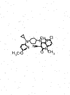 COc1ccc(N(C2CCC(N(C)c3c(C#N)c(=O)n(C)c4ccc(Cl)nc34)CC2)C2CC2)nc1